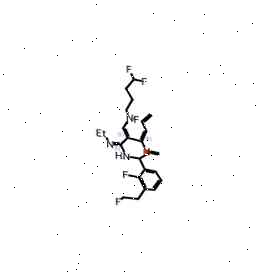 C=C\C=C(N=C)/C(=C\N(F)CCCC(F)F)C(=N\CC)/NC(C)c1cccc(CCF)c1F